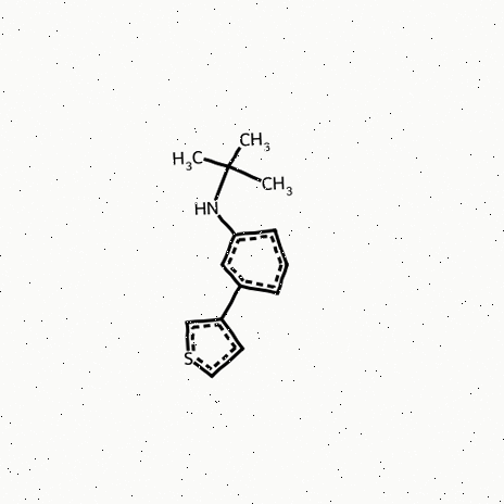 CC(C)(C)Nc1cccc(-c2ccsc2)c1